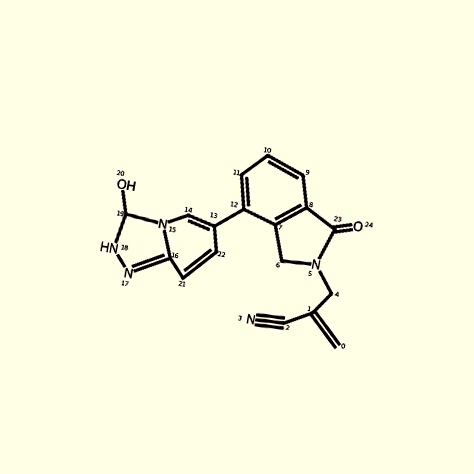 C=C(C#N)CN1Cc2c(cccc2C2=CN3C(=NNC3O)C=C2)C1=O